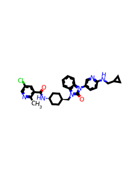 Cc1ncc(Cl)cc1C(=O)N[C@H]1CC[C@H](Cn2c(=O)n(-c3ccc(NCC4CC4)nc3)c3ccccc32)CC1